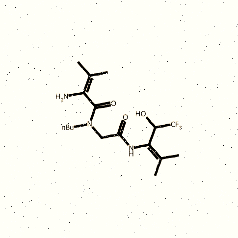 CCCCN(CC(=O)NC(=C(C)C)C(O)C(F)(F)F)C(=O)C(N)=C(C)C